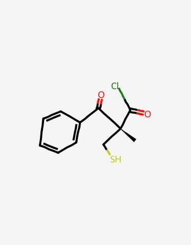 C[C@](CS)(C(=O)Cl)C(=O)c1ccccc1